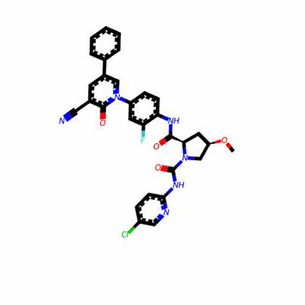 CO[C@@H]1C[C@H](C(=O)Nc2ccc(-n3cc(-c4ccccc4)cc(C#N)c3=O)cc2F)N(C(=O)Nc2ccc(Cl)cn2)C1